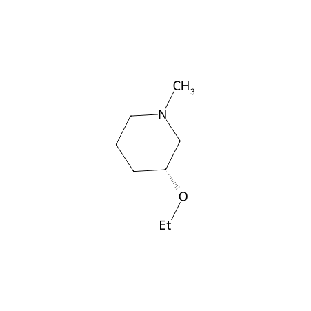 CCO[C@@H]1CCCN(C)C1